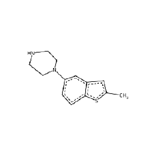 Cc1cc2cc(N3CCNCC3)ccc2s1